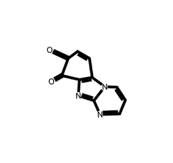 O=C1C=Cc2c(nc3ncccn23)C1=O